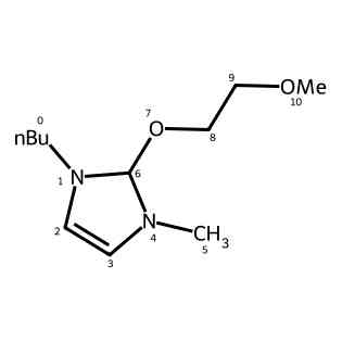 CCCCN1C=CN(C)C1OCCOC